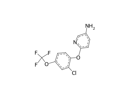 Nc1ccc(Oc2ccc(OC(F)(F)F)cc2Cl)nc1